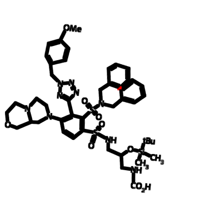 COc1ccc(Cn2nnc(-c3c(N4CCN5CCOCC5C4)ccc(S(=O)(=O)NCC(CNC(=O)O)O[Si](C)(C)C(C)(C)C)c3S(=O)(=O)N(Cc3ccccc3)Cc3ccccc3)n2)cc1